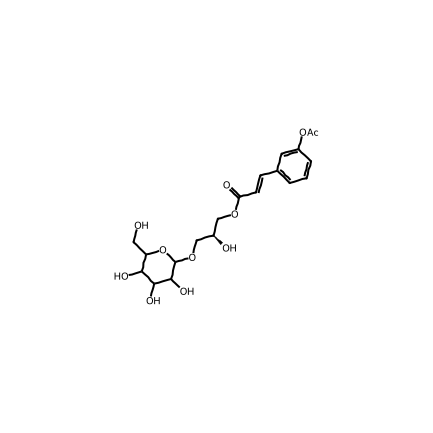 CC(=O)Oc1cccc(/C=C/C(=O)OC[C@@H](O)COC2OC(CO)C(O)C(O)C2O)c1